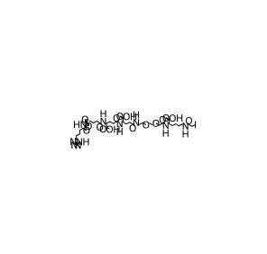 O=C(CI)NCCCCC(NC(=O)COCCOCCNC(=O)CCC(NC(=O)CCC(NC(=O)CCCS(=O)(=O)NC(=O)CCCc1nnn[nH]1)C(=O)O)C(=O)O)C(=O)O